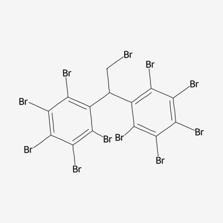 BrCC(c1c(Br)c(Br)c(Br)c(Br)c1Br)c1c(Br)c(Br)c(Br)c(Br)c1Br